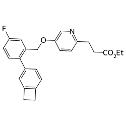 CCOC(=O)CCc1ccc(OCc2cc(F)ccc2-c2ccc3c(c2)CC3)cn1